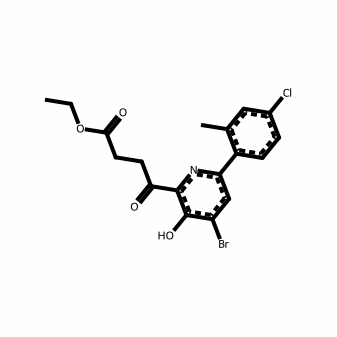 CCOC(=O)CCC(=O)c1nc(-c2ccc(Cl)cc2C)cc(Br)c1O